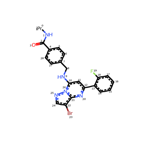 CC(C)NC(=O)c1ccc(CNc2cc(-c3ccccc3F)nc3c(Br)cnn23)cc1